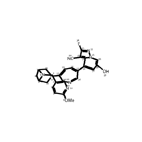 COc1ccc(CN2C3CC2CN(C2=CC=C(c4cc(O)cn5nc(F)c(C#N)c45)C=NC2)C3)cn1